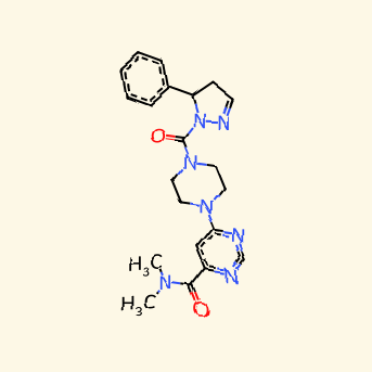 CN(C)C(=O)c1cc(N2CCN(C(=O)N3N=CCC3c3ccccc3)CC2)ncn1